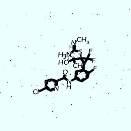 C/N=C(/N)S[C@]1(C(C)(C)O)C(c2cc(NC(=O)c3ccc(Cl)cn3)ccc2F)C1(F)F